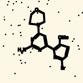 COc1ccc(Br)nc1-c1cc(N2CCOCC2)nc(N)n1